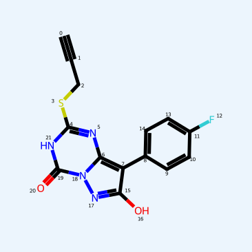 C#CCSc1nc2c(-c3ccc(F)cc3)c(O)nn2c(=O)[nH]1